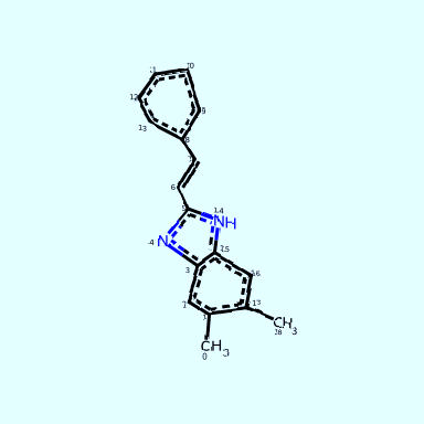 Cc1cc2nc(C=Cc3ccccc3)[nH]c2cc1C